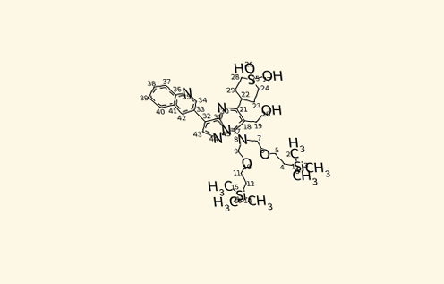 C[Si](C)(C)CCOCN(COCC[Si](C)(C)C)c1c(CO)c(C2CCS(O)(O)CC2)nc2c(-c3cnc4ccccc4c3)cnn12